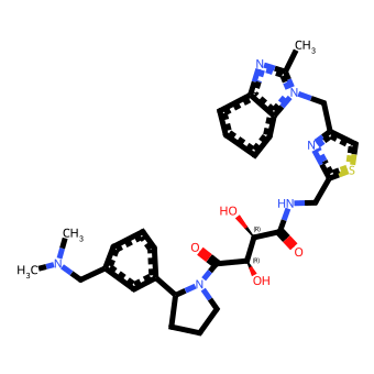 Cc1nc2ccccc2n1Cc1csc(CNC(=O)[C@H](O)[C@@H](O)C(=O)N2CCCC2c2cccc(CN(C)C)c2)n1